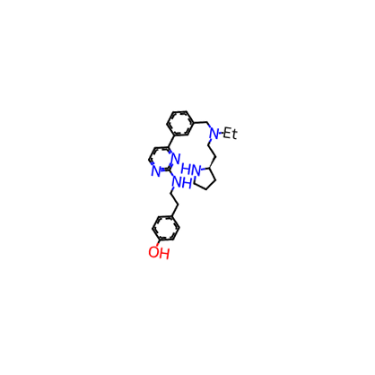 CCN(CC[C@H]1CCCN1)Cc1cccc(-c2ccnc(NCCc3ccc(O)cc3)n2)c1